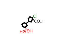 O=C(O)c1cc(-c2cccc(B(O)O)c2)ccc1Cl